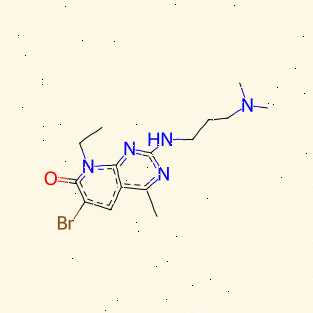 CCn1c(=O)c(Br)cc2c(C)nc(NCCCN(C)C)nc21